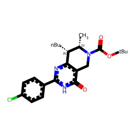 CCCC[C@H]1c2nc(-c3ccc(Cl)cc3)[nH]c(=O)c2CN(C(=O)OC(C)(C)C)[C@H]1C